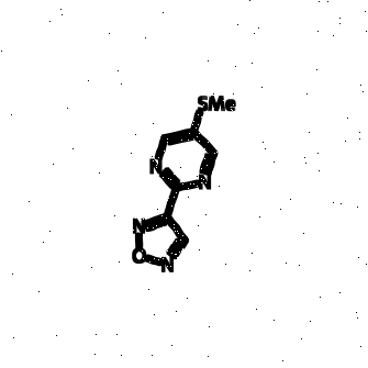 CSc1cnc(-c2cnon2)nc1